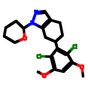 COc1cc(OC)c(Cl)c(C2CCc3cnn(C4CCCCO4)c3C2)c1Cl